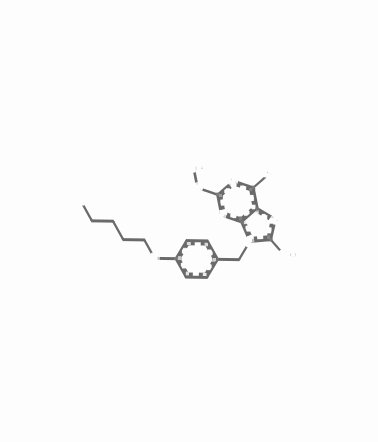 CCCCOc1nc(N)c2nc(OC)n(Cc3ccc(OCCCCCl)cc3)c2n1